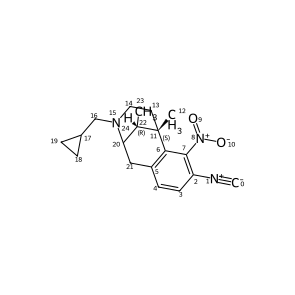 [C-]#[N+]c1ccc2c(c1[N+](=O)[O-])[C@@]1(C)CCN(CC3CC3)C(C2)[C@@H]1C